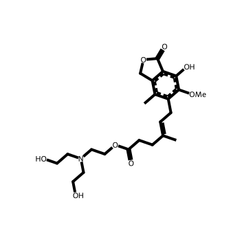 COc1c(O)c2c(c(C)c1C/C=C(\C)CCC(=O)OCCN(CCO)CCO)COC2=O